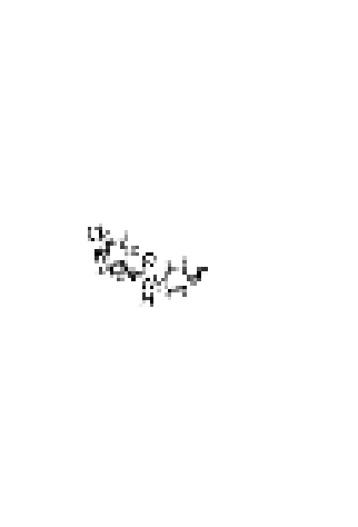 O=C(Nc1ccc(F)cc1)Nc1ccc(Cl)nc1